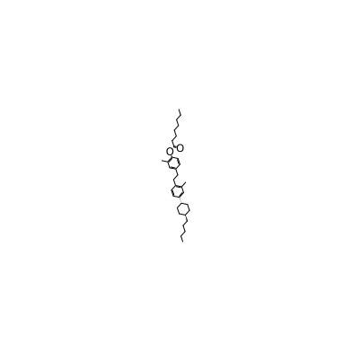 CCCCCCCC(=O)Oc1ccc(CCc2ccc([C@H]3CC[C@H](CCCCC)CC3)cc2C)cc1C